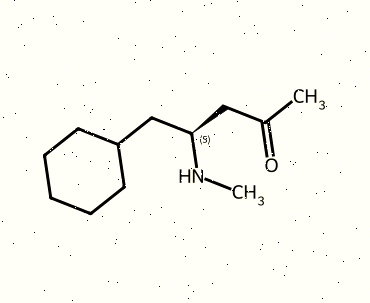 CN[C@H](CC(C)=O)CC1CCCCC1